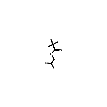 CC(F)CNC(=O)C(C)(C)C